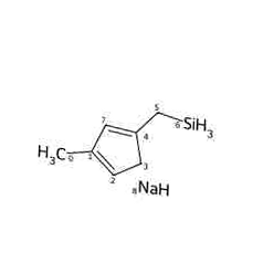 CC1=CCC(C[SiH3])=C1.[NaH]